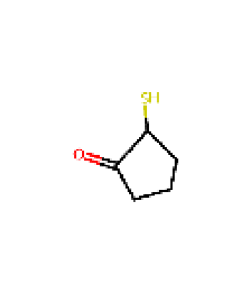 O=C1CCCC1S